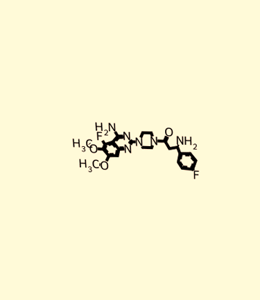 COc1cc2nc(N3CCN(C(=O)C[C@@H](N)c4ccc(F)cc4)CC3)nc(N)c2c(F)c1OC